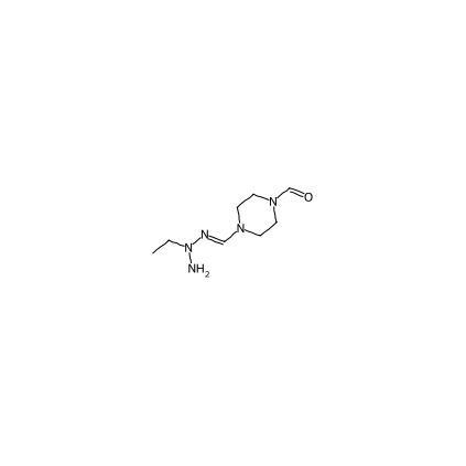 CCN(N)N=CN1CCN(C=O)CC1